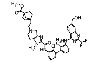 COC(=O)C12CCC(CCN3CCc4c(nc(C(=O)Nc5cccc(-c6cccc(Nc7nc(C(F)F)nc8cc(CO)cnc78)c6C)c5Cl)n4C)C3)(CC1)C2